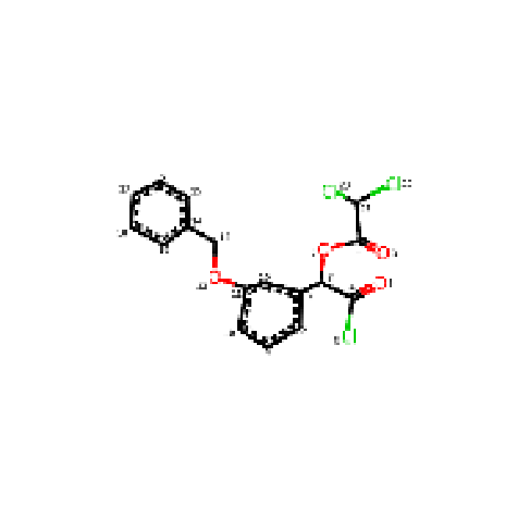 O=C(O[C@@H](C(=O)Cl)c1cccc(OCc2ccccc2)c1)C(Cl)Cl